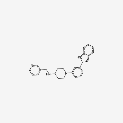 c1cncc(CNC2CCN(c3cccc(-c4cc5ccccc5[nH]4)c3)CC2)c1